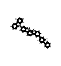 c1ccc2c(c1)oc1cc(-c3ccc4sc5c(ccc6c7ccc(-n8c9ccccc9c9ccccc98)cc7oc65)c4c3)ccc12